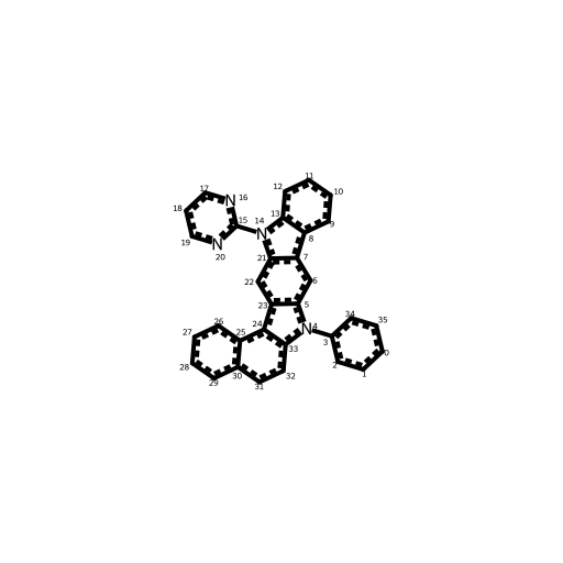 c1ccc(-n2c3cc4c5ccccc5n(-c5ncccn5)c4cc3c3c4ccccc4ccc32)cc1